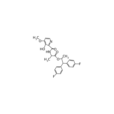 COc1ccnc(C(=O)NC(C)C(=O)O[C@@H](C)C(c2ccc(F)cc2)c2ccc(F)cc2)c1O